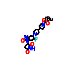 Cn1c(=O)n(C2CCC(=O)NC2=O)c2cc(F)c(N3CCC(C4CCN(C(=O)OC(C)(C)C)CC4)CC3)cc21